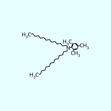 CCCCCCCCCCCCCCN(CCCCCCCCCCCCCC)c1c(C)cc(C)cc1C